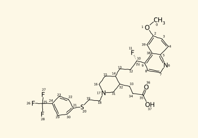 COc1ccc2nccc([C@@H](F)CCC3CCN(CCSc4ccc(C(F)(F)F)cc4)CC3CCC(=O)O)c2c1